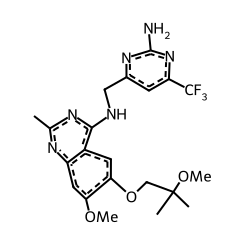 COc1cc2nc(C)nc(NCc3cc(C(F)(F)F)nc(N)n3)c2cc1OCC(C)(C)OC